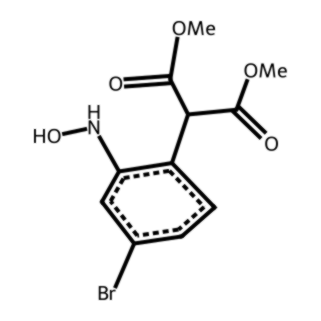 COC(=O)C(C(=O)OC)c1ccc(Br)cc1NO